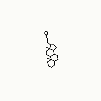 CC12CCCCC1CCC1C2CCC2(C)C(CCC=O)CCC12